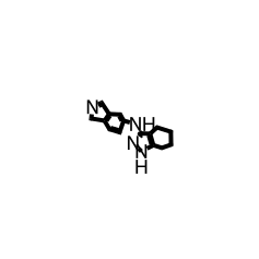 C1=NCc2ccc(Nc3n[nH]c4c3CCCC4)cc21